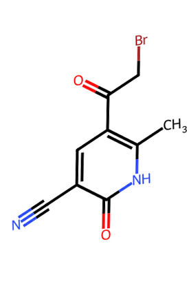 Cc1[nH]c(=O)c(C#N)cc1C(=O)CBr